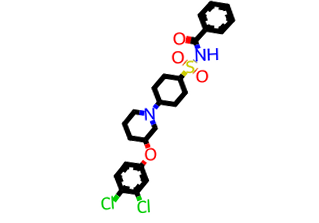 O=C(NS(=O)(=O)C1CCC(N2CCCC(Oc3ccc(Cl)c(Cl)c3)C2)CC1)c1ccccc1